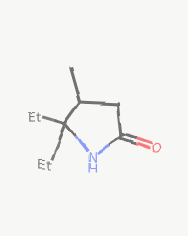 CCC1(CC)NC(=O)CC1C